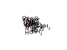 CC(=O)N[C@H](C(=O)N[C@@H](Cc1c[nH]cn1)C(=O)N1CCC[C@H]1C(=O)N[C@@H](CC(C)C)C(=O)N[C@@H](CCC(N)=O)C(=O)N[C@@H](Cc1c[nH]c2ccccc12)C(N)=O)C(C)C